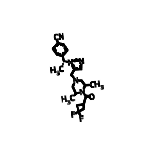 CC1CN(Cc2cncn2[C@H](C)c2ccc(C#N)cc2)CC(C)N1C(=O)C1CC(F)(F)C1